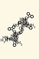 N=C(N)NCCC[C@H](NC(=O)[C@H](Cc1ccc(OC(=O)CC[C@H](NC(=O)[C@H](Cc2ccc(O)cc2)NC(=O)OCC2c3ccccc3-c3ccccc32)C(=O)N[C@@H](Cc2ccccc2)C(N)=O)cc1)NC(=O)OCC1c2ccccc2-c2ccccc21)C(=O)N[C@@H](Cc1ccccc1)C(N)=O